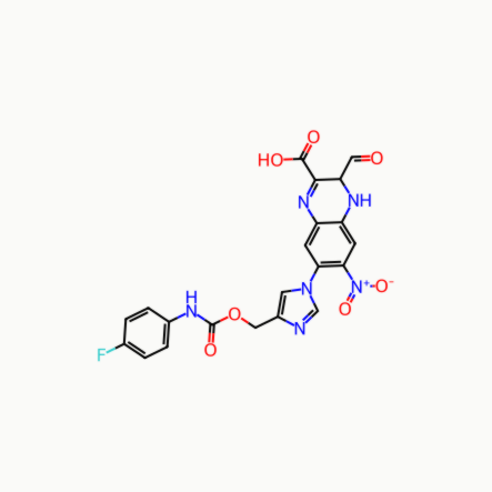 O=CC1Nc2cc([N+](=O)[O-])c(-n3cnc(COC(=O)Nc4ccc(F)cc4)c3)cc2N=C1C(=O)O